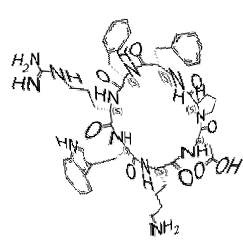 N=C(N)NCCC[C@@H]1NC(=O)[C@H](Cc2ccccc2)NC(=O)[C@H](Cc2ccccc2)NC(=O)[C@@H]2CCCN2C(=O)[C@H](CC(=O)O)NC(=O)[C@H](CCCCN)NC(=O)[C@H](Cc2c[nH]c3ccccc23)NC1=O